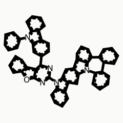 c1ccc(-n2c3ccccc3c3ccc(-c4nc(-n5c6ccccc6c6cc7c(cc65)c5cccc6c5n7-c5ccccc5-c5ccccc5-6)nc5oc6ccccc6c45)cc32)cc1